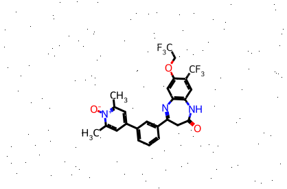 Cc1cc(-c2cccc(C3=Nc4cc(OCC(F)(F)F)c(C(F)(F)F)cc4NC(=O)C3)c2)cc(C)[n+]1[O-]